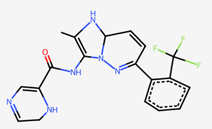 CC1=C(NC(=O)C2=CN=CCN2)N2N=C(c3ccccc3C(F)(F)F)C=CC2N1